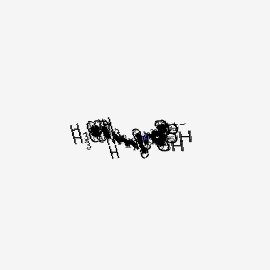 CC(C)(C)OC(=O)NCCCCCCN1C(=O)S/C(=C\c2cc(O)c(O)c([N+](=O)[O-])c2)C1=O